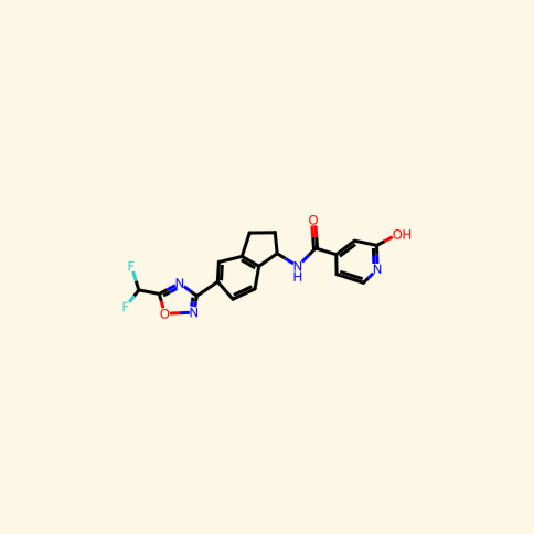 O=C(NC1CCc2cc(-c3noc(C(F)F)n3)ccc21)c1ccnc(O)c1